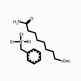 CCCCCCCCCCCCCCCCCC(N)=O.CC[N+](CC)(CC)Cc1ccccc1